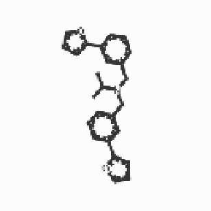 CC(C)N(Cc1cccc(-c2ccco2)c1)Cc1cccc(-c2ccco2)c1